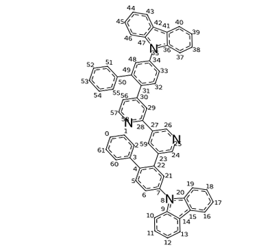 c1ccc(-c2ccc(-n3c4ccccc4c4ccccc43)cc2-c2cncc(-c3cc(-c4ccc(-n5c6ccccc6c6ccccc65)cc4-c4ccccc4)ccn3)c2)cc1